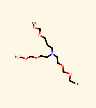 CCOCOCCN(CCCOCOC)CCOCOC